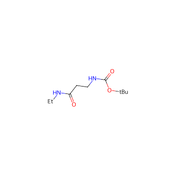 [CH2]CNC(=O)CCNC(=O)OC(C)(C)C